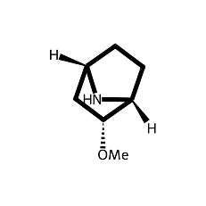 CO[C@@H]1C[C@@H]2CC[C@H]1N2